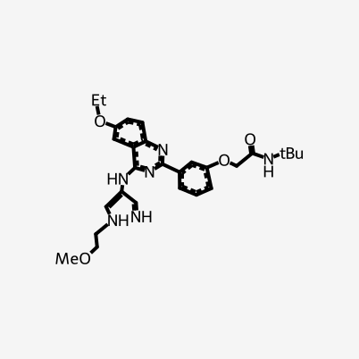 CCOc1ccc2nc(-c3cccc(OCC(=O)NC(C)(C)C)c3)nc(N/C(C=N)=C/NCCOC)c2c1